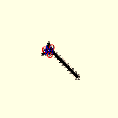 C=CCn1c(=O)n(CC=C)c(=O)n(CCCCCCCCCCCCCCCCCCCC)c1=O